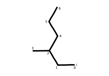 [CH]CC(C)CCC